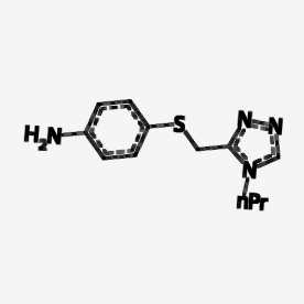 CCCn1cnnc1CSc1ccc(N)cc1